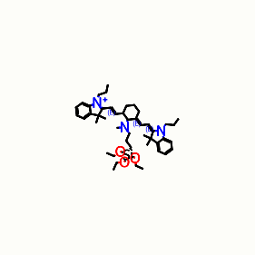 CCCN1/C(=C/C=C2\CCCC(/C=C/C3=[N+](CCC)c4ccccc4C3(C)C)C2N(C)CCC[Si](OCC)(OCC)OCC)C(C)(C)c2ccccc21